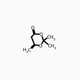 C=C1CC(=O)OC(C)(C)O1